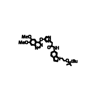 COc1cc2ncnc(Oc3cnn(CC(=O)Nc4ccc5ccn(CCO[Si](C)(C)C(C)(C)C)c5c4)c3)c2cc1OC